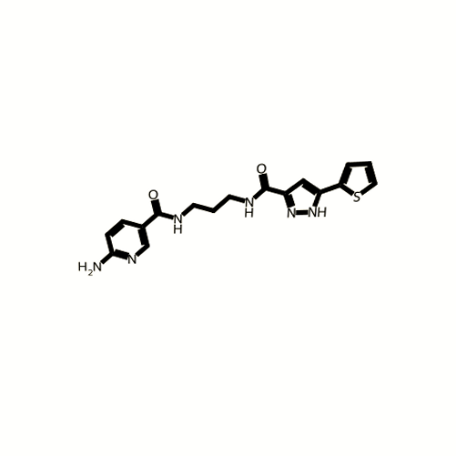 Nc1ccc(C(=O)NCCCNC(=O)c2cc(-c3cccs3)[nH]n2)cn1